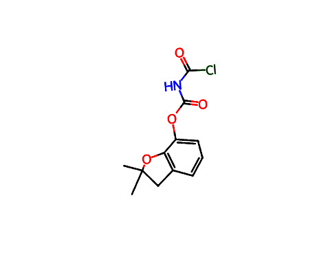 CC1(C)Cc2cccc(OC(=O)NC(=O)Cl)c2O1